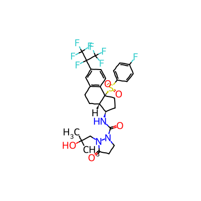 CC(C)(O)CN1C(=O)CCN1C(=O)N[C@@H]1CC[C@@]2(S(=O)(=O)c3ccc(F)cc3)c3ccc(C(F)(C(F)(F)F)C(F)(F)F)cc3CC[C@@H]12